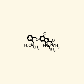 CN(C)Cc1ccccc1COc1cc(Cl)c2cc(C(=O)N(C)C(=N)N)[nH]c2c1